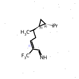 CC(C)[C@H]1C[C@@H]1C(C)C/C=C(\C=N)C(F)(F)F